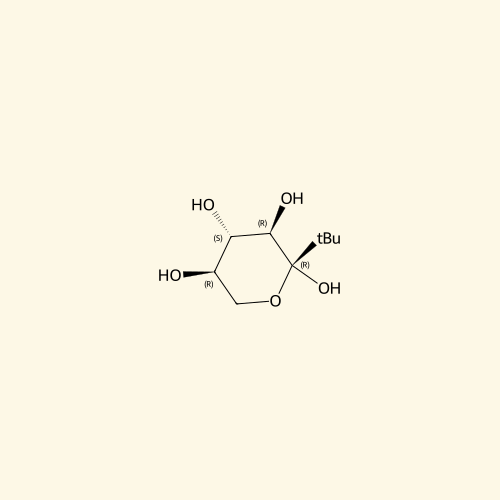 CC(C)(C)[C@@]1(O)OC[C@@H](O)[C@H](O)[C@H]1O